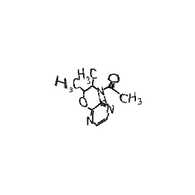 CC(=O)NC(C)C(C)Oc1cnccn1